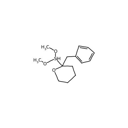 CO[SiH](OC)C1(Cc2ccccc2)CCCCO1